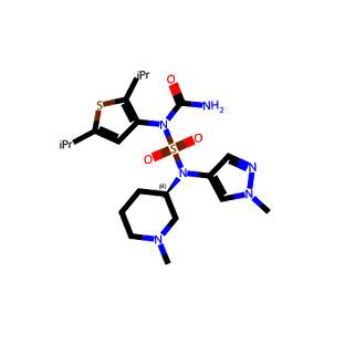 CC(C)c1cc(N(C(N)=O)S(=O)(=O)N(c2cnn(C)c2)[C@@H]2CCCN(C)C2)c(C(C)C)s1